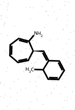 CC1C=CC=C/C1=C/[C@H]1C=CC=CC=C1N